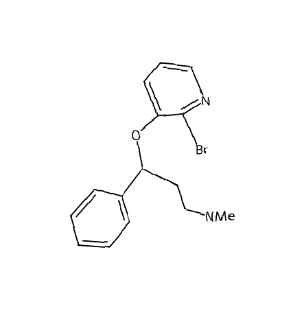 CNCCC(Oc1cccnc1Br)c1ccccc1